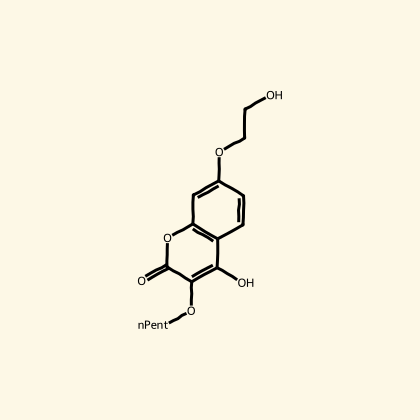 CCCCCOc1c(O)c2ccc(OCCO)cc2oc1=O